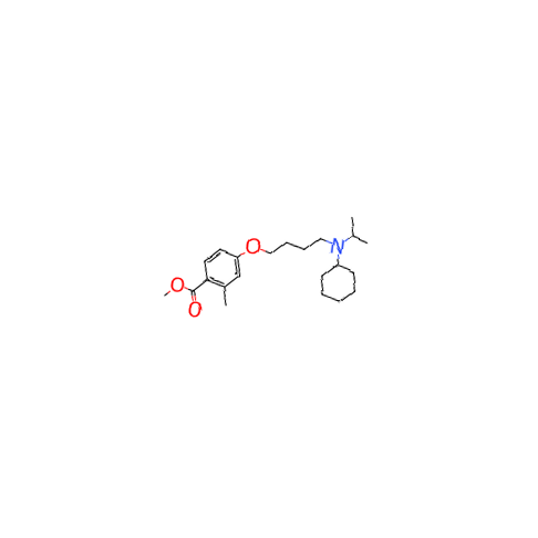 COC(=O)c1ccc(OCCCCN(C(C)C)C2CCCCC2)cc1C